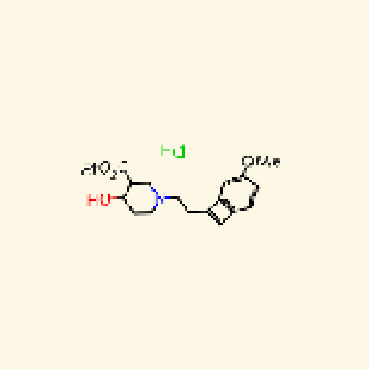 CCOC(=O)C1CN(CCC2=Cc3ccc(OC)cc32)CCC1O.Cl